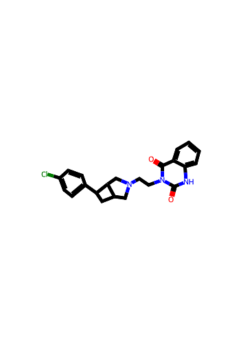 O=c1[nH]c2ccccc2c(=O)n1CCN1CC2CC(c3ccc(Cl)cc3)C2C1